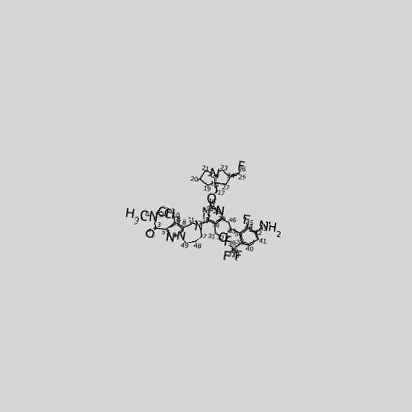 CN(C)C(=O)c1nn2c(c1Cl)CN(c1nc(OC[C@@]34CCCN3C/C(=C\F)C4)nc3c1COC(c1c(C(F)(F)F)ccc(N)c1F)C3)CCC2